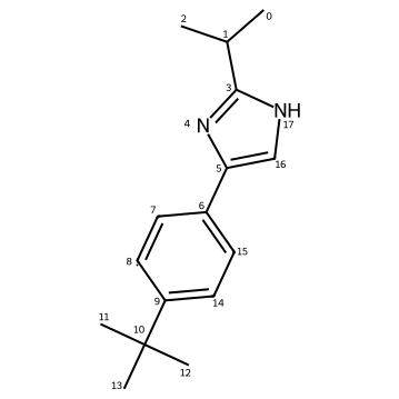 CC(C)c1nc(-c2c[c]c(C(C)(C)C)cc2)c[nH]1